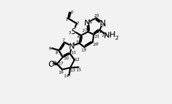 C=CCSc1c(-n2cc(C)c3c2CC(C)(C)CC3=O)ccc2c(N)ncnc12